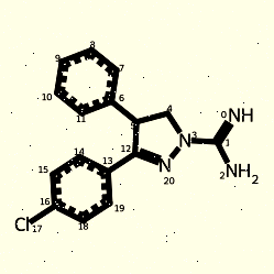 N=C(N)N1CC(c2ccccc2)C(c2ccc(Cl)cc2)=N1